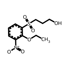 CCOc1c([N+](=O)[O-])cccc1S(=O)(=O)CCCO